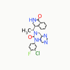 CC(c1c[nH]c(=O)c2ccccc12)N(Cc1ccncn1)C(=O)Nc1ccc(F)c(Cl)c1